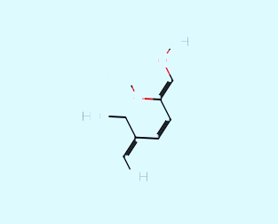 C\C=C(/C=C\C(=C\OC)OC)CC